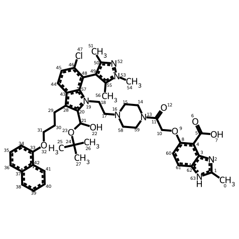 Cc1nc2c(C(=O)O)c(OCC(=O)N3CCN(CCn4c(C(O)OC(C)(C)C)c(CCCOc5cccc6ccccc56)c5ccc(Cl)c(-c6c(C)nn(C)c6C)c54)CC3)ccc2[nH]1